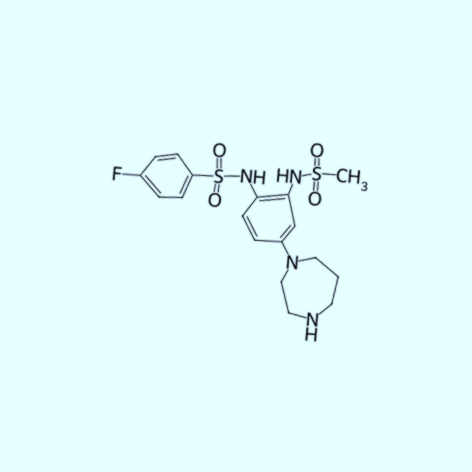 CS(=O)(=O)Nc1cc(N2CCCNCC2)ccc1NS(=O)(=O)c1ccc(F)cc1